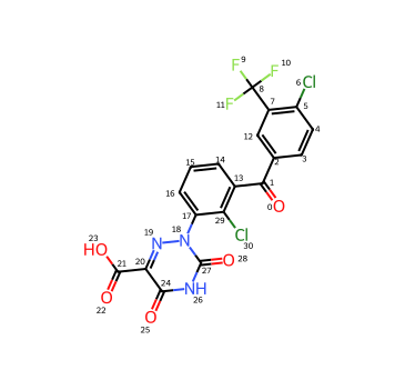 O=C(c1ccc(Cl)c(C(F)(F)F)c1)c1cccc(-n2nc(C(=O)O)c(=O)[nH]c2=O)c1Cl